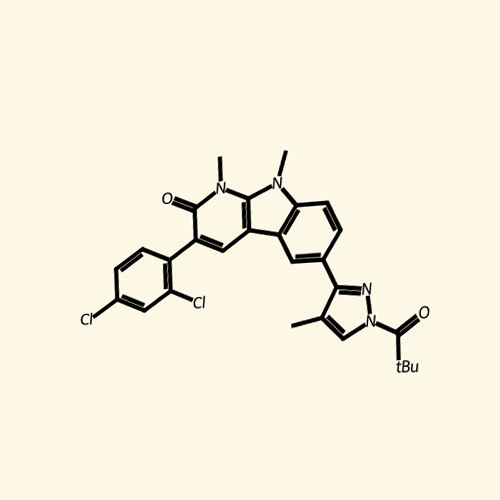 Cc1cn(C(=O)C(C)(C)C)nc1-c1ccc2c(c1)c1cc(-c3ccc(Cl)cc3Cl)c(=O)n(C)c1n2C